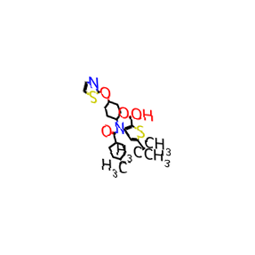 CC1CCC(C(=O)N(c2cc(C(C)(C)C)sc2C(=O)O)C2CCC(Oc3nccs3)CC2)CC1